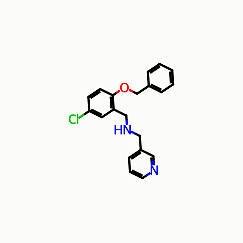 Clc1ccc(OCc2ccccc2)c(CNCc2cccnc2)c1